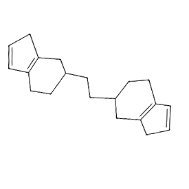 C1=CC2=C(C1)CC(CCC1CCC3=C(CC=C3)C1)CC2